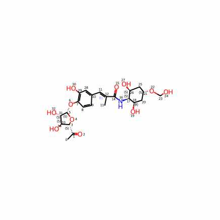 CC(=O)[C@H]1O[C@@H](Oc2ccc(/C=C(\C)C(=O)N[C@@H]3[C@H](O)C[C@@H](OCO)C[C@@H]3O)cc2O)[C@@H](O)[C@@H]1O